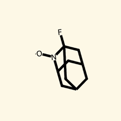 [O]N1C2CC3CC(C2)CC1(F)C3